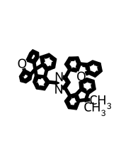 CC1(C)c2ccccc2-c2c(-c3cc(-c4cccc5c4oc4ccccc45)nc(-c4cccc5c4-c4ccccc4C54c5ccccc5Oc5ccccc54)n3)cccc21